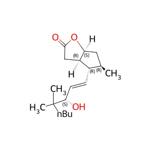 CCCCC(C)(C)[C@@H](O)C=C[C@@H]1[C@H]2CC(=O)O[C@H]2C[C@H]1C